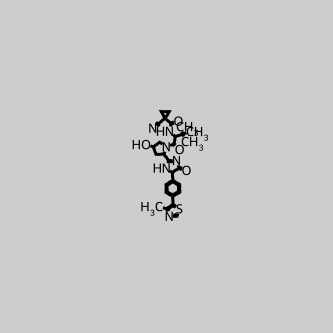 Cc1ncsc1-c1ccc(C2NC(C3CC(O)CN3C(=O)C(NC(=O)C3(C#N)CC3)C(C)(C)C)=NC2=O)cc1